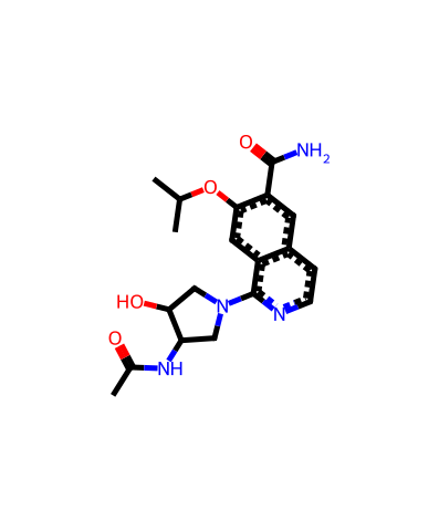 CC(=O)NC1CN(c2nccc3cc(C(N)=O)c(OC(C)C)cc23)CC1O